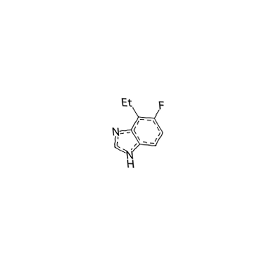 CCc1c(F)ccc2[nH]cnc12